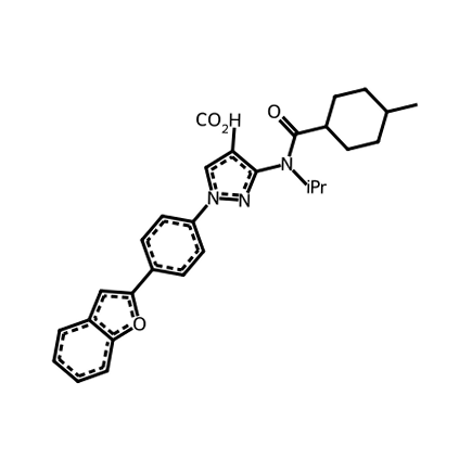 CC1CCC(C(=O)N(c2nn(-c3ccc(-c4cc5ccccc5o4)cc3)cc2C(=O)O)C(C)C)CC1